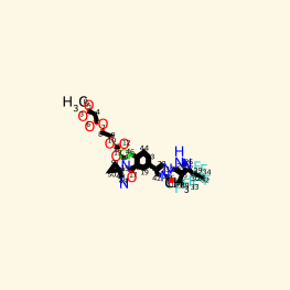 COC(=O)CC(=O)OCCOC(=O)OCN(C(=O)c1cc(C2=CN(c3[nH]nc(C(F)(F)C(F)(F)F)c3C(F)(F)F)N(C)C2)ccc1Cl)C1(C#N)CC1